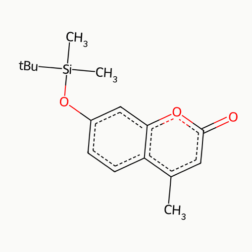 Cc1cc(=O)oc2cc(O[Si](C)(C)C(C)(C)C)ccc12